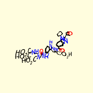 O=C(O)CN(CCNC(C(=O)O)C(=O)O)CC(=O)Nc1ccc2[nH]cc(C[C@H](NC(=O)c3ccc4c(c3)nc(-c3ccoc3)n4C3CCCCC3)C(=O)O)c2c1